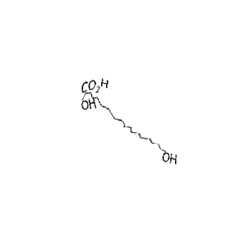 O=C(O)C(CO)CCCCCCCCCCCCCCCCCO